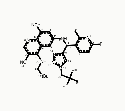 Cc1nc(F)ccc1[C@H](Nc1cc(C#N)c2ncc(C#N)c(NCC(C)(C)C)c2c1)c1cn(CC(C)(F)F)nn1